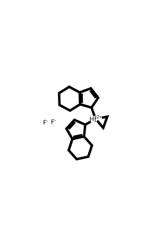 C1=C[CH]([Hf+2]2([CH]3C=CC4=C3CCCC4)[CH2][CH2]2)C2=C1CCCC2.[F-].[F-]